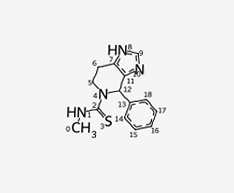 CNC(=S)N1CCc2[nH]cnc2C1c1ccccc1